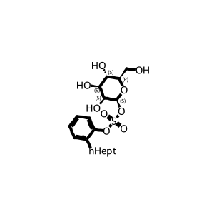 CCCCCCCc1ccccc1OS(=O)(=O)O[C@@H]1O[C@H](CO)[C@@H](O)[C@H](O)[C@@H]1O